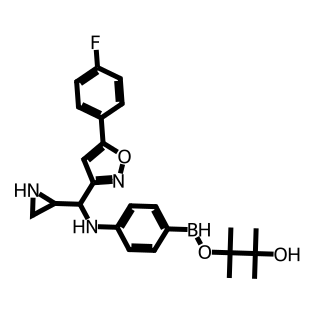 CC(C)(O)C(C)(C)OBc1ccc(NC(c2cc(-c3ccc(F)cc3)on2)C2CN2)cc1